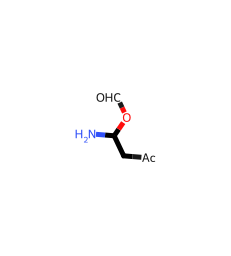 CC(=O)CC(N)OC=O